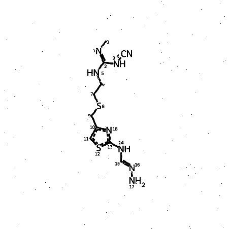 CN=C(NC#N)NCCSCc1csc(NC=NN)n1